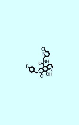 O=C(NCc1cccc(Cl)n1)c1c2c(c(O)c3ncccc13)C(=O)N(Cc1ccc(F)cc1)C2